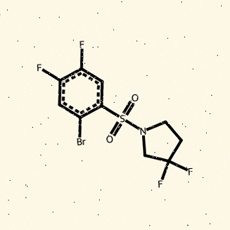 O=S(=O)(c1cc(F)c(F)cc1Br)N1CCC(F)(F)C1